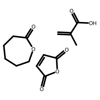 C=C(C)C(=O)O.O=C1C=CC(=O)O1.O=C1CCCCCO1